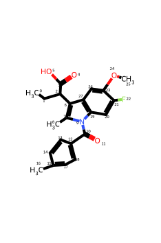 CCC(C(=O)O)c1c(C)n(C(=O)c2ccc(C)cc2)c2cc(F)c(OC)cc12